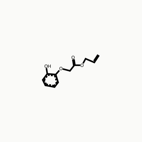 C=CCOC(=O)COc1ccccc1O